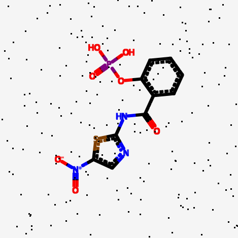 O=C(Nc1ncc([N+](=O)[O-])s1)c1ccccc1OP(=O)(O)O